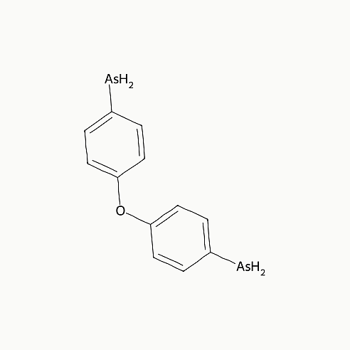 [AsH2]c1ccc(Oc2ccc([AsH2])cc2)cc1